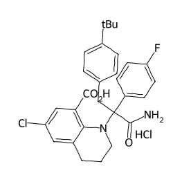 CC(C)(C)c1ccc(CC(C(N)=O)(c2ccc(F)cc2)N2CCCc3cc(Cl)cc(C(=O)O)c32)cc1.Cl